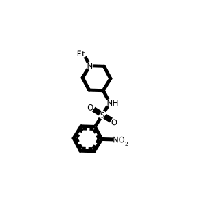 CCN1CCC(NS(=O)(=O)c2ccccc2[N+](=O)[O-])CC1